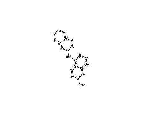 COc1[c]cc2c(Nc3ccc4ccccc4c3)ncnc2c1